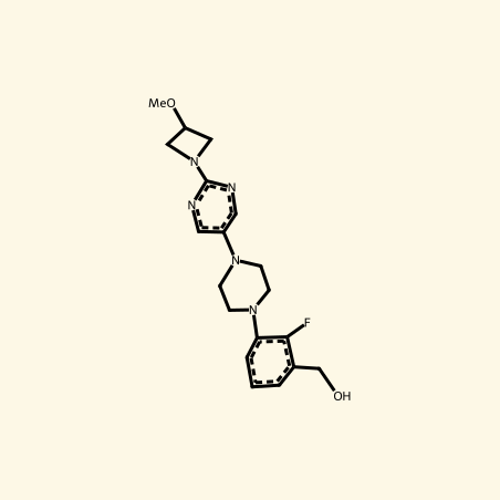 COC1CN(c2ncc(N3CCN(c4cccc(CO)c4F)CC3)cn2)C1